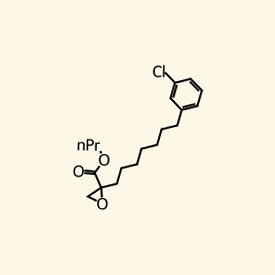 CCCOC(=O)C1(CCCCCCCc2cccc(Cl)c2)CO1